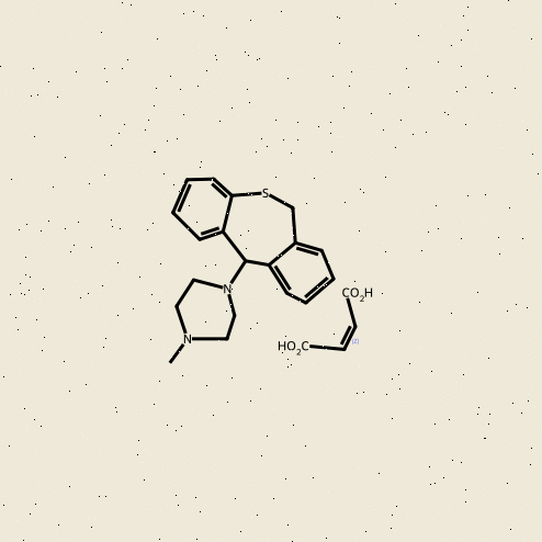 CN1CCN(C2c3ccccc3CSc3ccccc32)CC1.O=C(O)/C=C\C(=O)O